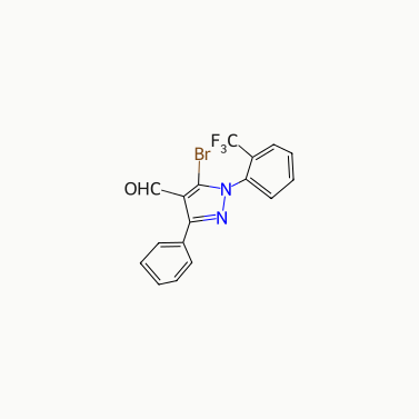 O=Cc1c(-c2ccccc2)nn(-c2ccccc2C(F)(F)F)c1Br